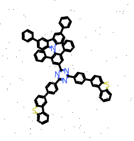 c1ccc(-c2ccc3c(c2)c2cc(-c4ccccc4)ccc2n3-c2c(-c3ccccc3)cc(-c3nc(-c4ccc(-c5ccc6sc7ccccc7c6c5)cc4)nc(-c4ccc(-c5ccc6sc7ccccc7c6c5)cc4)n3)cc2-c2ccccc2)cc1